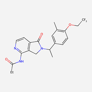 CCC(=O)Nc1nccc2c1CN(C(C)c1ccc(OCC(F)(F)F)c(C)c1)C2=O